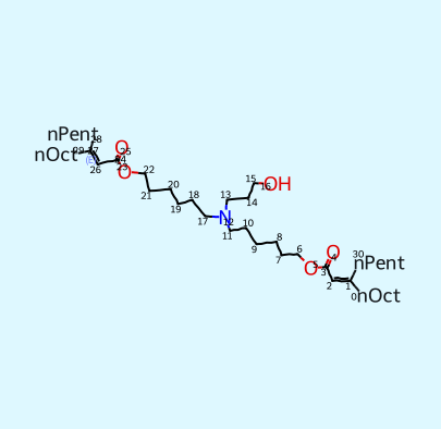 CCCCCCCCC(=CC(=O)OCCCCCCN(CCCO)CCCCCCOC(=O)/C=C(\CCCCC)CCCCCCCC)CCCCC